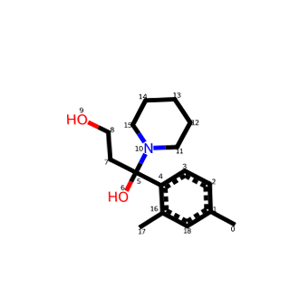 Cc1ccc(C(O)(CCO)N2CCCCC2)c(C)c1